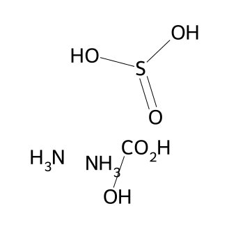 N.N.O=C(O)O.O=S(O)O